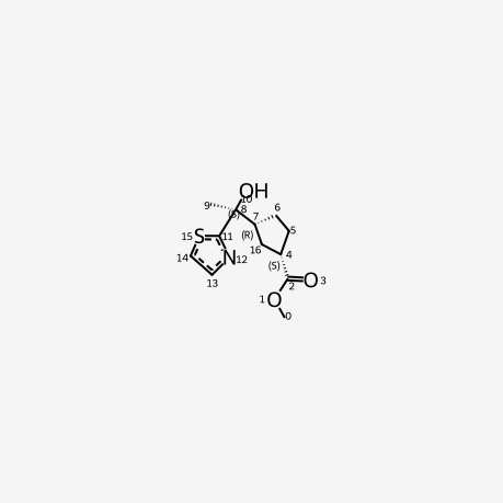 COC(=O)[C@H]1CC[C@@H]([C@](C)(O)c2nccs2)C1